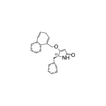 O=C1C=C(OCC2=CCC=Cc3ccccc32)[C@H](Cc2ccccc2)N1